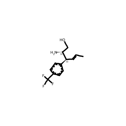 CC=C[C@@H](c1ccc(C(F)(F)F)cc1)[C@H](N)CO